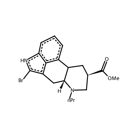 CCCN1C[C@H](C(=O)OC)CC2c3cccc4[nH]c(Br)c(c34)C[C@H]21